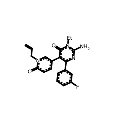 C=CCn1cc(-c2c(-c3cccc(F)c3)nc(N)n(CC)c2=O)ccc1=O